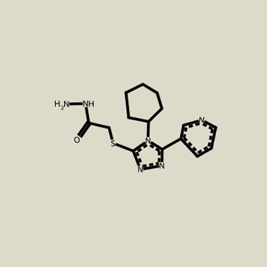 NNC(=O)CSc1nnc(-c2cccnc2)n1C1CCCCC1